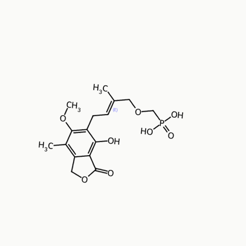 COc1c(C)c2c(c(O)c1C/C=C(\C)COCP(=O)(O)O)C(=O)OC2